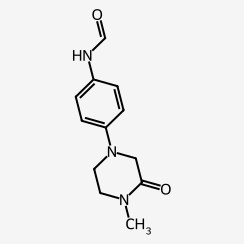 CN1CCN(c2ccc(NC=O)cc2)CC1=O